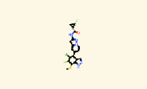 CSc1c(F)c(Cl)c(-c2ccn3nc(NC(=O)[C@@H]4C[C@@H]4F)cc3c2)c2cn[nH]c12